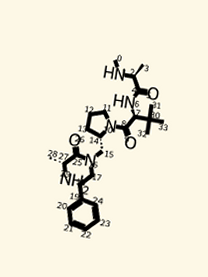 CN[C@@H](C)C(=O)N[C@H](C(=O)N1CCC[C@H]1CN(CCc1ccccc1)C(=O)[C@@H](C)N)C(C)(C)C